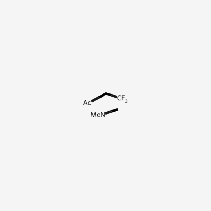 CC(=O)CC(F)(F)F.CNC